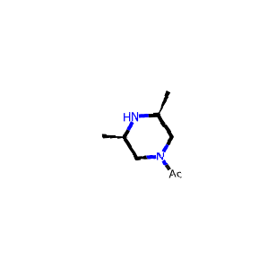 CC(=O)N1C[C@@H](C)N[C@@H](C)C1